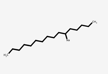 CCCCCCCCCC[CH]([Na])CCCCC